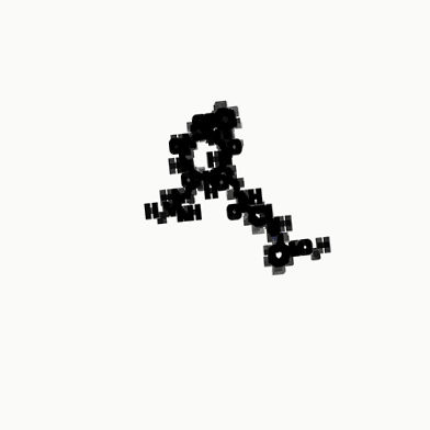 N=C(N)NCCC[C@@H]1NC(=O)[C@H](CCCCNC(=O)c2ccc(N/N=C/c3ccccc3S(=O)(=O)O)nc2)NC(=O)[C@@H](Cc2ccccc2)NC(=O)[C@H](CC(=O)O)NC(=O)CNC1=O